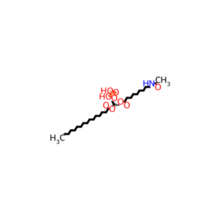 CCCCCCCCCCCCCCCC(=O)O[C@H](COC(=O)CCCCCCCCNC(C)=O)COP(=O)(O)O